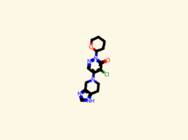 O=c1c(Cl)c(N2CCc3[nH]cnc3C2)cnn1C1CCCCO1